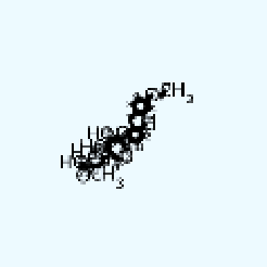 CCOc1ccc(Cc2cc([C@]34OC[C@@](C(C)CC(C)(C)C(=O)O)(O3)[C@@H](O)[C@H](O)[C@H]4O)ccc2Cl)cc1